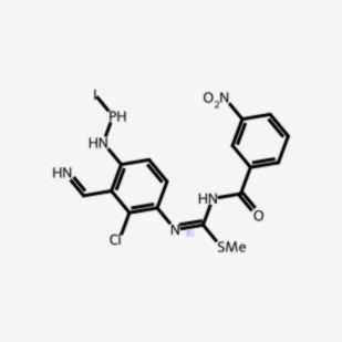 CS/C(=N/c1ccc(NPI)c(C=N)c1Cl)NC(=O)c1cccc([N+](=O)[O-])c1